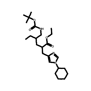 CCOC(=O)C(Cc1cn(C2CCCCC2)cn1)CC(CC)CNC(=O)OC(C)(C)C